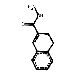 NNC(=O)C1=Cc2ccccc2CC1